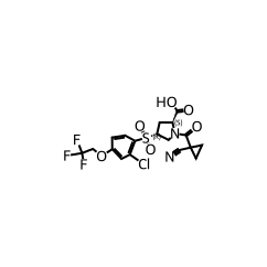 N#CC1(C(=O)N2C[C@H](S(=O)(=O)c3ccc(OCC(F)(F)F)cc3Cl)C[C@H]2C(=O)O)CC1